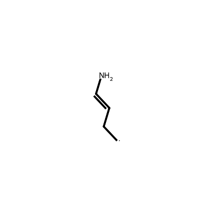 [CH2]CC=CN